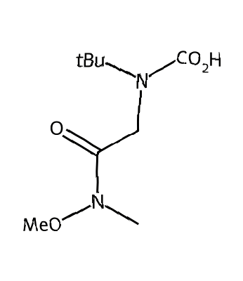 CON(C)C(=O)CN(C(=O)O)C(C)(C)C